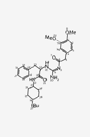 COc1ccc(CC(=O)N=C(N)NC(Cc2ccccc2)C(=O)NC2CCC(C(C)(C)C)CC2)cc1OC